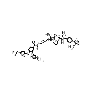 Cc1ncsc1-c1ccc(C(C)NC(=O)C2CCCN2C(=O)C(NCCOCCNC(=O)c2ccc(Nc3ccc(C(F)(F)F)cn3)c(-c3cn(C)cn3)c2)C(C)(C)C)cc1